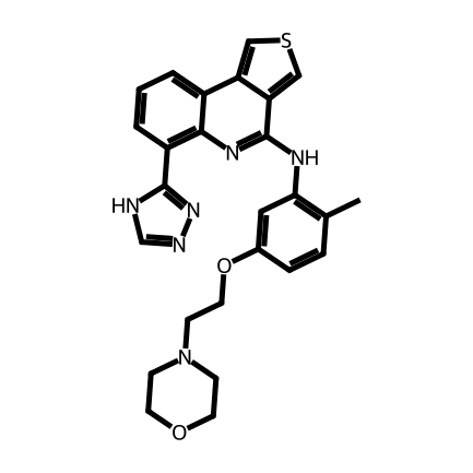 Cc1ccc(OCCN2CCOCC2)cc1Nc1nc2c(-c3nnc[nH]3)cccc2c2cscc12